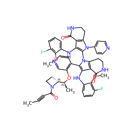 CC#CC(=O)N1CC[C@@H]1[C@H](C)Oc1cnccc1-c1c(Nc2cccc(F)c2OC)c2c(n1-c1c(Nc3cccc(F)c3OC)c3c(n1-c1ccncc1)CCNC3=O)CCNC2=O